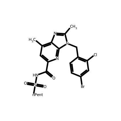 CCCCCS(=O)(=O)NC(=O)c1cc(C)c2nc(C)n(Cc3ccc(Br)cc3Cl)c2n1